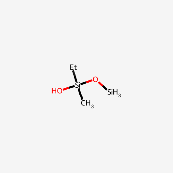 CC[Si](C)(O)O[SiH3]